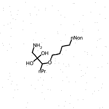 CCCCCCCCCCCCCOC(CCC)C(O)(O)CN